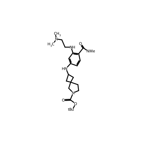 CNC(=O)c1ccc(NC2CC3(CCN(C(=O)OC(C)(C)C)C3)C2)cc1NCCN(C)C